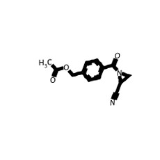 CC(=O)OCc1ccc(C(=O)N2CC2C#N)cc1